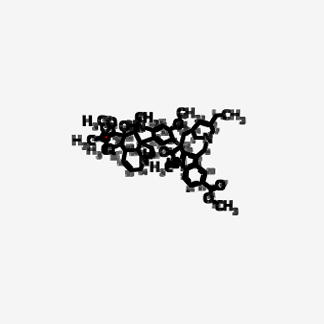 CCC1=C[C@H]2CN(C1)Cc1c([nH]c3ccc(C(=O)OC)cc13)[C@@](C(=O)OC)(C1C=C3C(=CC1OC)N(C)[C@H]1[C@@](O)(C(=O)OC)[C@H](OC(C)=O)[C@]4(CC)C=CCN5CC[C@]31[C@@H]54)C2